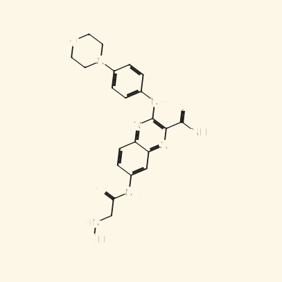 CNCC(=O)Nc1ccc2nc(Nc3ccc(N4CCOCC4)cc3)c(C(N)=O)nc2c1